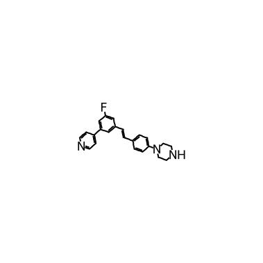 Fc1cc(C=Cc2ccc(N3CCNCC3)cc2)cc(-c2ccncc2)c1